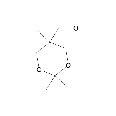 CC1(C[O])COC(C)(C)OC1